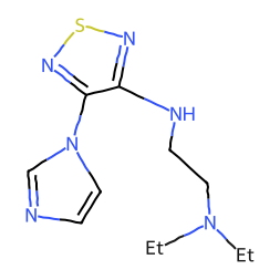 CCN(CC)CCNc1nsnc1-n1ccnc1